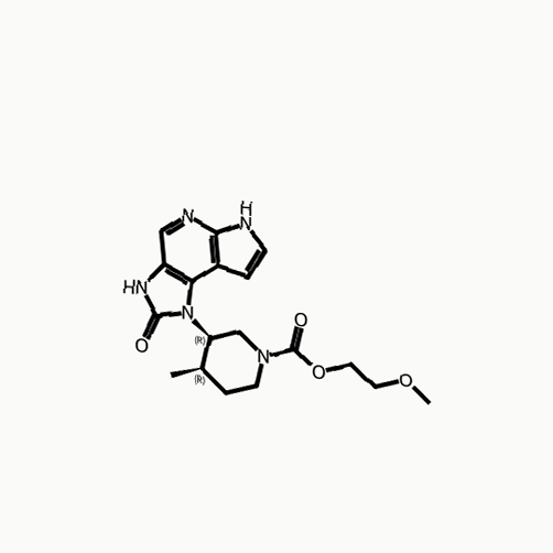 COCCOC(=O)N1CC[C@@H](C)[C@@H](n2c(=O)[nH]c3cnc4[nH]ccc4c32)C1